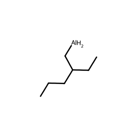 CCCC(CC)[CH2][AlH2]